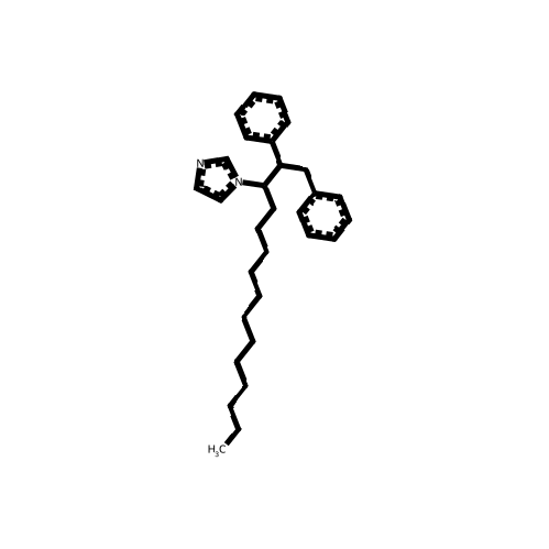 CCCCCCCCCCCCC(C(Cc1ccccc1)c1ccccc1)n1ccnc1